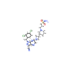 CC(c1ccc(Cl)cc1Cl)n1nc(C#N)c2ncc(N3CC(C4CCCN(CCCS(N)(=O)=O)C4)C3)nc21